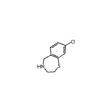 Clc1ccc2c(c1)SCCNC2